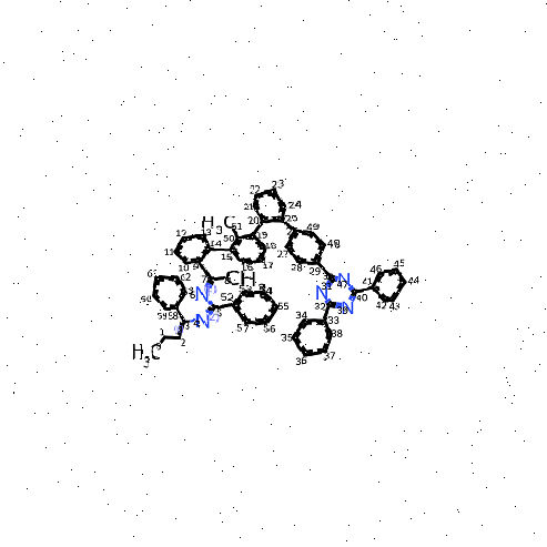 CC/C=C(/N=C(\N=C(/C)c1ccccc1-c1cccc(-c2ccccc2-c2ccc(-c3nc(-c4ccccc4)nc(-c4ccccc4)n3)cc2)c1C)c1ccccc1)c1ccccc1